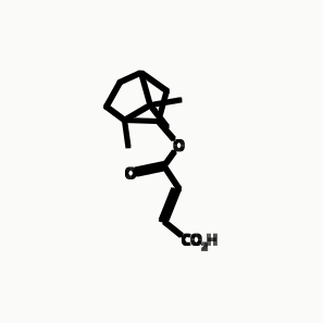 CC1(C)C2CCC1(C)C(OC(=O)C=CC(=O)O)C2